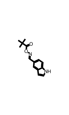 CC(C)(C)C(=O)ON=Cc1ccc2[nH]ccc2c1